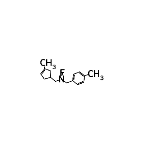 CC1=CCC(CN(F)Cc2ccc(C)cc2)C1